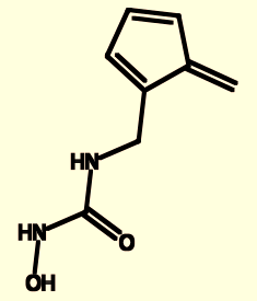 C=C1C=CC=C1CNC(=O)NO